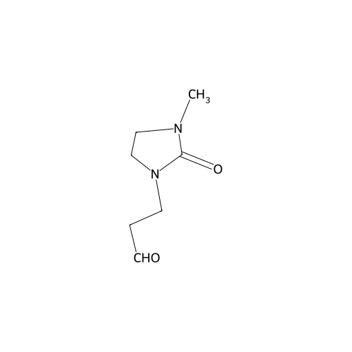 CN1CCN(CCC=O)C1=O